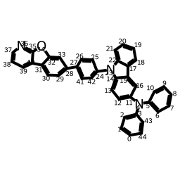 c1ccc(N(c2ccccc2)c2ccc3c(c2)c2ccccc2n3-c2ccc(-c3ccc4c(c3)oc3ncccc34)cc2)cc1